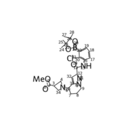 COC(=O)C1CN([C@H]2CCCn3nc(C(=O)Nc4cccc(B5OC(C)(C)C(C)(C)O5)c4Cl)cc32)C1